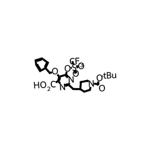 CC(C)(C)OC(=O)N1CCC(Cc2nc(OS(=O)(=O)C(F)(F)F)c(OCc3ccccc3)c(C(=O)O)n2)CC1